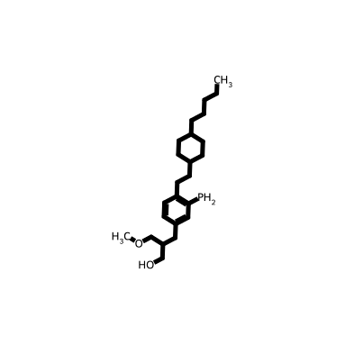 CCCCCC1CCC(CCc2ccc(CC(CO)COC)cc2P)CC1